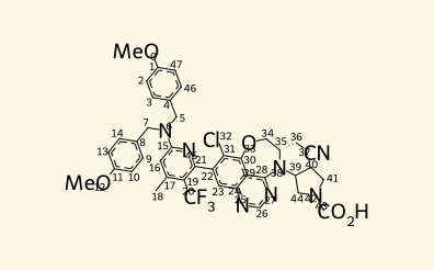 COc1ccc(CN(Cc2ccc(OC)cc2)c2cc(C)c(C(F)(F)F)c(-c3cc4ncnc5c4c(c3Cl)OC[C@H](CC#N)N5C3CCN(C(=O)O)C3)n2)cc1